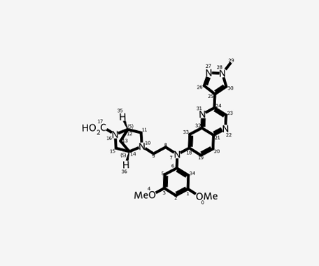 COc1cc(OC)cc(N(CCN2C[C@@H]3C[C@H]2CN3C(=O)O)c2ccc3ncc(-c4cnn(C)c4)nc3c2)c1